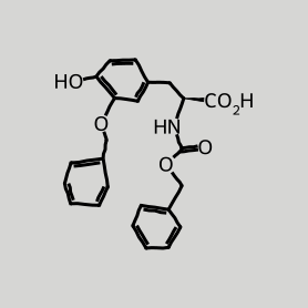 O=C(N[C@@H](Cc1ccc(O)c(OCc2ccccc2)c1)C(=O)O)OCc1ccccc1